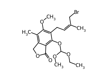 CCOC(OC)Oc1c(CC=C(C)CBr)c(OC)c(C)c2c1C(=O)OC2